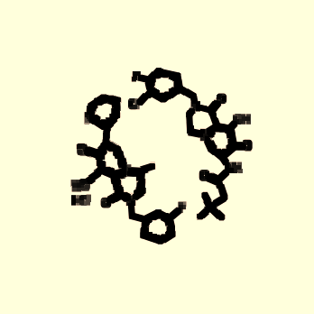 CC(C)(C)CC(=O)Nc1cn2c(c(O)c1=O)C(=O)N(Cc1ccc(F)c(Cl)c1)CC2.Cc1cn(Cc2cccc(F)c2)c(=O)c2c(O)c(=O)c(-c3ccccn3)cn12.Cl